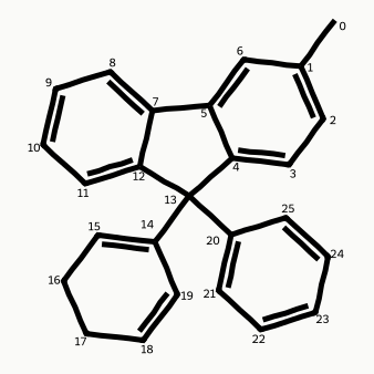 Cc1ccc2c(c1)-c1ccccc1C2(C1=CCCC=C1)c1ccccc1